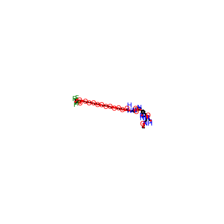 CCCN(CCCNC(=O)CC(C)(C)C)C(=O)C1=Cc2ccc(-c3cncc(S(=O)(=O)N4CC(CNCC(=O)CCOCCOCCOCCOCCOCCOCCOCCOCCOCCOCCC(=O)Oc5c(F)c(F)cc(F)c5F)C4)c3)cc2N=C(N)C1